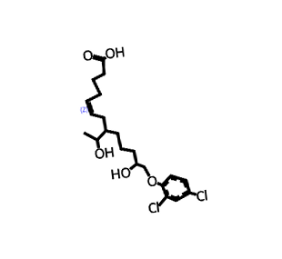 CC(O)C(C/C=C\CCCC(=O)O)CCCC(O)COc1ccc(Cl)cc1Cl